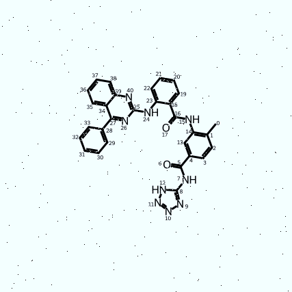 Cc1ccc(C(=O)Nc2nnn[nH]2)cc1NC(=O)c1ccccc1Nc1nc(-c2ccccc2)c2ccccc2n1